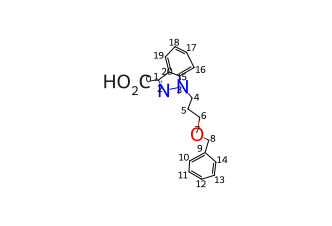 O=C(O)c1nn(CCCOCc2ccccc2)c2ccccc12